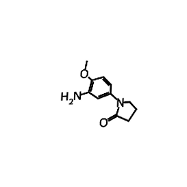 COc1ccc(N2CCCC2=O)cc1N